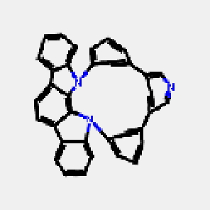 c1ccc2c(c1)c1ccc3c4ccccc4n4c5cccc(c5)c5cncc(c5)c5cccc(c5)n2c1c34